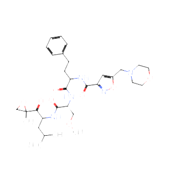 COC[C@H](NC(=O)C(CCc1ccccc1)NC(=O)c1cc(CN2CCOCC2)on1)C(=O)NC(CC(C)C)C(=O)C1(C)CO1